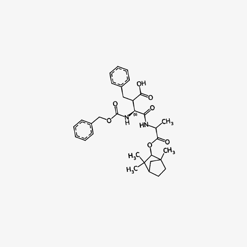 CC(NC(=O)[C@@H](NC(=O)OCc1ccccc1)C(Cc1ccccc1)C(=O)O)C(=O)OC1C2(C)CCC(C2)C1(C)C